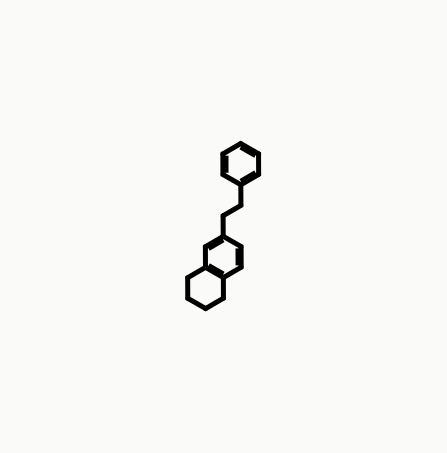 c1ccc(CCc2ccc3c(c2)CCCC3)cc1